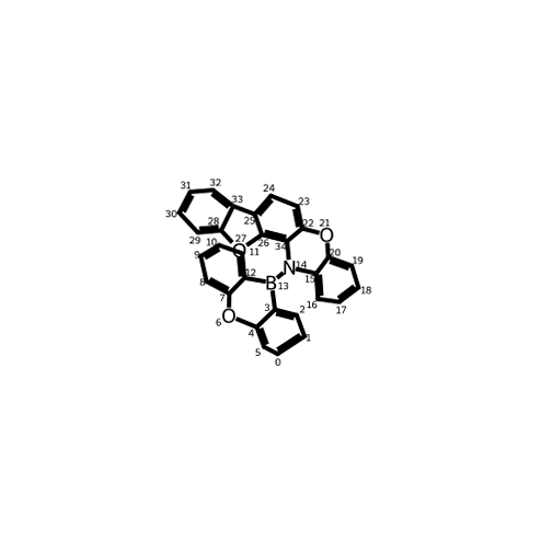 c1ccc2c(c1)Oc1ccccc1B2N1c2ccccc2Oc2ccc3c(oc4ccccc43)c21